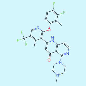 Cc1c(Oc2ncc(C(F)(F)F)c(C)c2-c2cc(=O)c3c(N4CCN(C)CC4)nccc3[nH]2)ccc(F)c1F